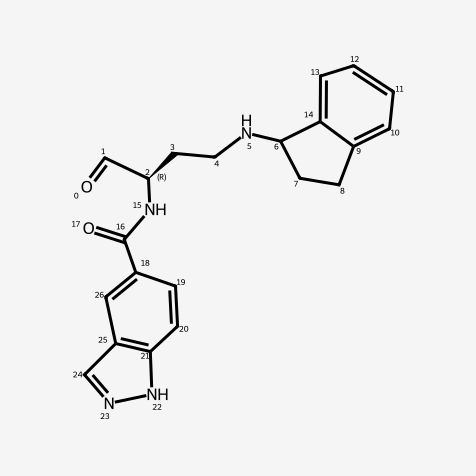 O=C[C@@H](CCNC1CCc2ccccc21)NC(=O)c1ccc2[nH]ncc2c1